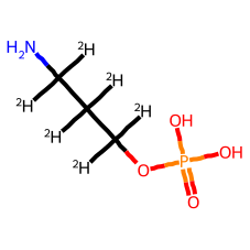 [2H]C([2H])(N)C([2H])([2H])C([2H])([2H])OP(=O)(O)O